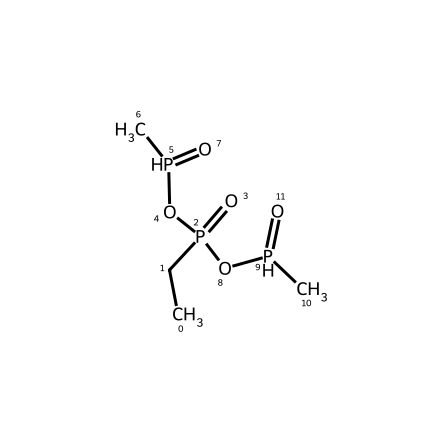 CCP(=O)(O[PH](C)=O)O[PH](C)=O